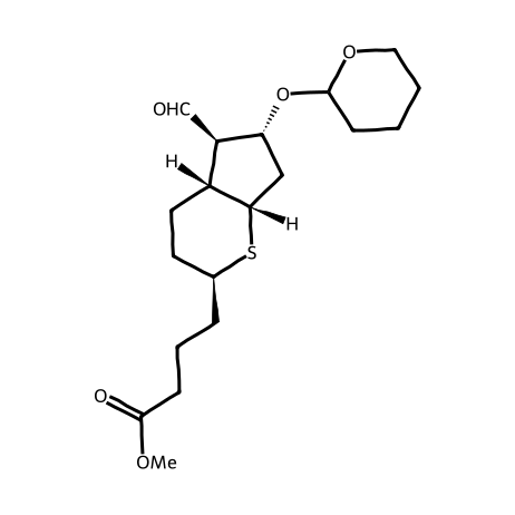 COC(=O)CCC[C@H]1CC[C@@H]2[C@@H](C=O)[C@H](OC3CCCCO3)C[C@@H]2S1